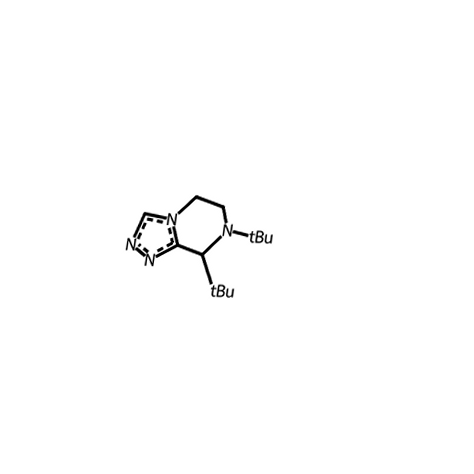 CC(C)(C)C1c2nncn2CCN1C(C)(C)C